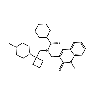 CN1CCN(C2(CN(Cc3cc4ccccc4n(C)c3=O)C(=O)C3CCCCC3)CCC2)CC1